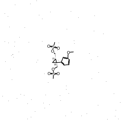 COc1cccc([C@@]2(COS(C)(=O)=O)C[C@@H]2COS(C)(=O)=O)c1